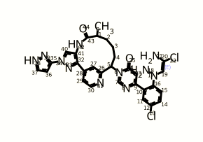 CC1CCCC(n2cnc(-c3cc(Cl)ccc3N(N)/C=C(\N)Cl)cc2=O)c2cc(ccn2)-c2nn(-c3cc[nH]n3)cc2NC1=O